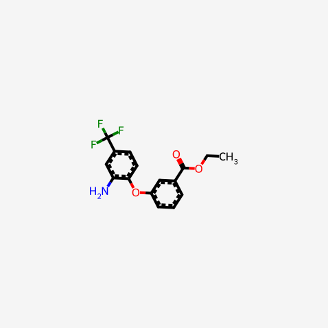 CCOC(=O)c1cccc(Oc2ccc(C(F)(F)F)cc2N)c1